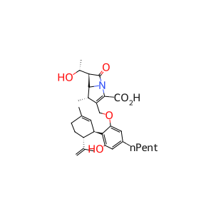 C=C(C)[C@@H]1CCC(C)=C[C@H]1c1c(O)cc(CCCCC)cc1OCC1=C(C(=O)O)N2C(=O)[C@H]([C@@H](C)O)C2[C@H]1C